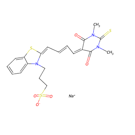 CN1C(=O)C(=CC=CC=C2Sc3ccccc3N2CCCS(=O)(=O)[O-])C(=O)N(C)C1=S.[Na+]